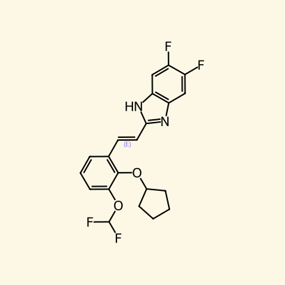 Fc1cc2nc(/C=C/c3cccc(OC(F)F)c3OC3CCCC3)[nH]c2cc1F